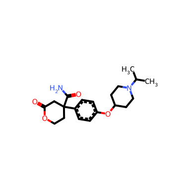 CC(C)N1CCC(Oc2ccc(C3(C(N)=O)CCOC(=O)C3)cc2)CC1